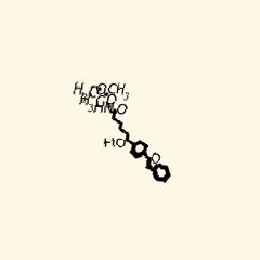 COC(C)(C)ONC(=O)CCCCC(O)c1ccc(-c2cc3ccccc3o2)cc1